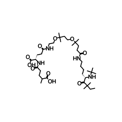 CCC(C)(C)C(=O)[C@H](CCCCNC(=O)CCC(C)(C)OCCC(C)(C)OCCNC(=O)CC[C@H](NC(=O)CCC(C)C(=O)O)C(=O)O)NC(C)(C)C